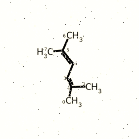 CC(C)=[C]C=C(C)C